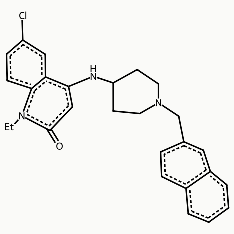 CCn1c(=O)cc(NC2CCN(Cc3ccc4ccccc4c3)CC2)c2cc(Cl)ccc21